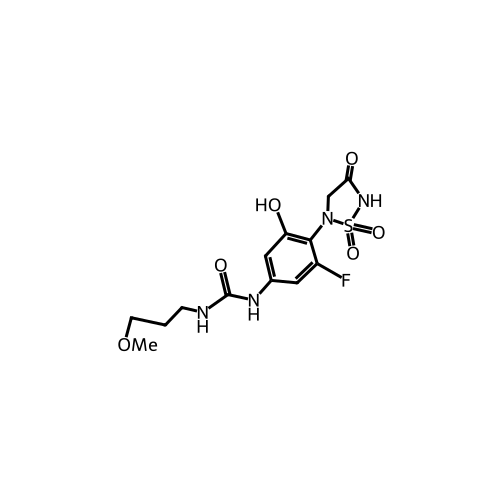 COCCCNC(=O)Nc1cc(O)c(N2CC(=O)NS2(=O)=O)c(F)c1